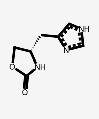 O=C1N[C@@H](Cc2c[nH]cn2)CO1